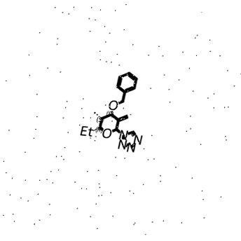 C=C1C(n2cnnn2)O[C@H](CC)[C@H](C)[C@@H]1OCc1ccccc1